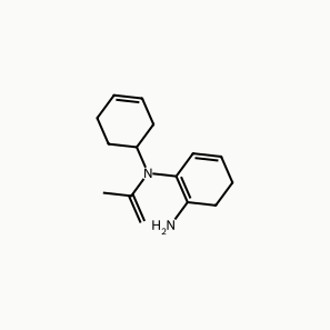 C=C(C)N(C1=C(N)CCC=C1)C1CC=CCC1